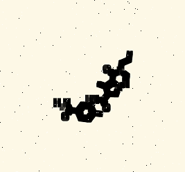 CCCN1C=NN2CC(C(=O)Nc3cc(C(N)=O)ccc3C)C(C)=C2C1=O